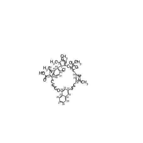 Cc1c2c(nn1C)CN(S(C)(=O)=O)Cc1cc(n(C)n1)CSc1cc(c3ccccc3c1)OCCCc1c(C(=O)O)n(C)c3c-2c(Cl)ccc13